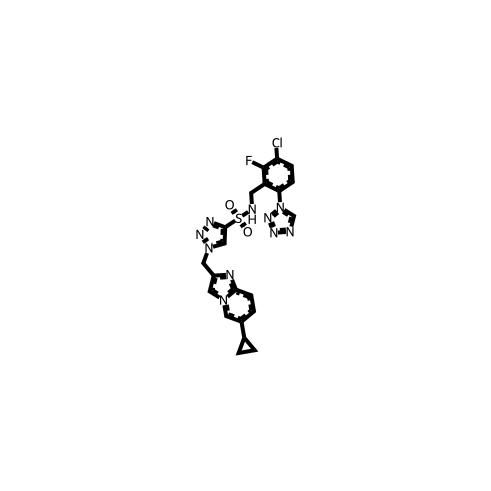 O=S(=O)(NCc1c(-n2cnnn2)ccc(Cl)c1F)c1cn(Cc2cn3cc(C4CC4)ccc3n2)nn1